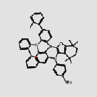 Cc1cc2c3c(c1)N(c1ccc(C(C)(C)C)cc1)c1c(oc4c1C(C)(C)CCC4(C)C)B3c1ccc(-c3ccccc3C)cc1N2c1ccccc1-c1ccccc1